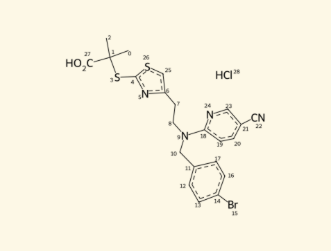 CC(C)(Sc1nc(CCN(Cc2ccc(Br)cc2)c2ccc(C#N)cn2)cs1)C(=O)O.Cl